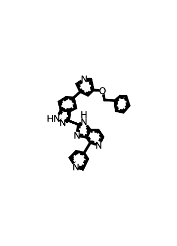 c1ccc(COc2cncc(-c3ccc4[nH]nc(-c5nc6c(-c7ccncc7)nccc6[nH]5)c4c3)c2)cc1